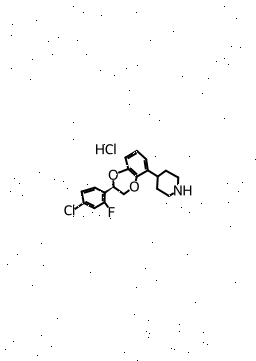 Cl.Fc1cc(Cl)ccc1[C@@H]1COc2c(cccc2C2CCNCC2)O1